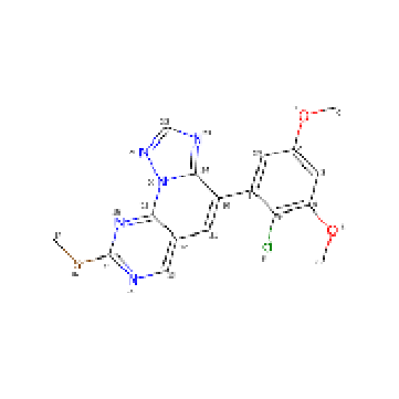 COc1cc(OC)c(Cl)c(-c2cc3cnc(SC)nc3n3ncnc23)c1